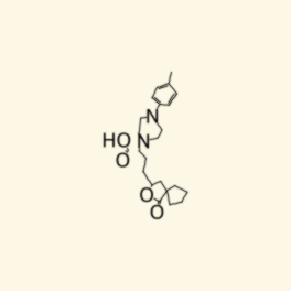 Cc1ccc(N2CCN(CCCC3CC4(CCCC4)C(=O)O3)CC2)cc1.O=CO